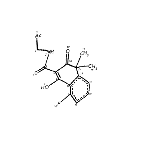 CC(=O)CNC(=O)C1=C(O)c2c(F)cccc2C(C)(C)C1=O